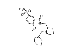 COc1ccc(S(N)(=O)=O)cc1C(=O)NCC1CCCN1CC1=CCCCC1